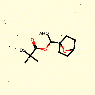 CCC(C)(C)C(=O)OC(OC)C12CCC(CC1)O2